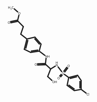 COC(=O)CCc1ccc(NC(=O)C(CO)NS(=O)(=O)c2ccc(Cl)cc2)cc1